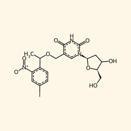 CC(OCc1cn([C@H]2CC(O)[C@@H](CO)O2)c(=O)[nH]c1=O)c1ccc(I)cc1[N+](=O)[O-]